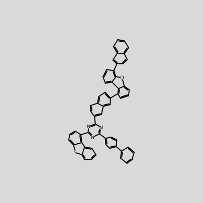 c1ccc(-c2ccc(-c3nc(-c4ccc5ccc(-c6cccc7oc8c(-c9ccc%10ccccc%10c9)cccc8c67)cc5c4)nc(-c4cccc5sc6ccccc6c45)n3)cc2)cc1